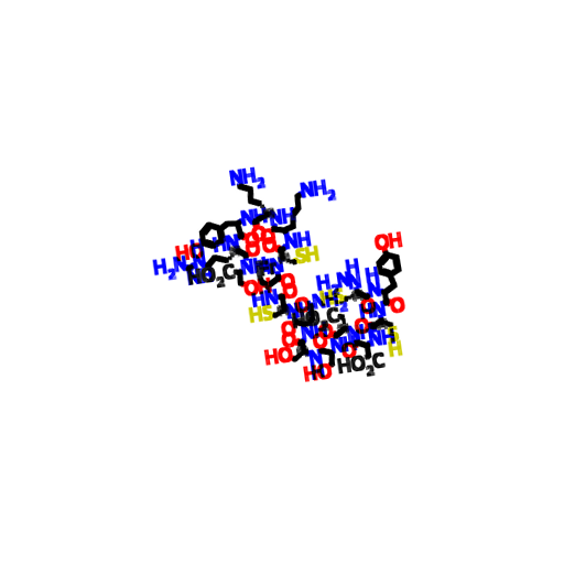 CC(C)CC(NC(=O)[C@H](CS)NC(=O)C(CC(N)=O)NC(=O)[C@H](CO)NC(=O)C(CO)NC(=O)[C@H](CC(=O)O)NC(=O)C(CC(=O)O)NC(=O)[C@H](CS)NC(=O)C(Cc1ccc(O)cc1)NC(=O)[C@H](CS)NN)C(=O)N[C@@H](CS)C(=O)NC(CCCCN)C(=O)N[C@@H](CCCCN)C(=O)NC(Cc1ccc(O)cc1)C(=O)N[C@@H](CCCNC(=N)N)C(=O)NC(CO)C(=O)O